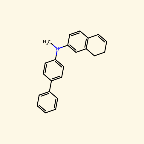 CN(c1ccc(-c2ccccc2)cc1)c1ccc2c(c1)CCC=C2